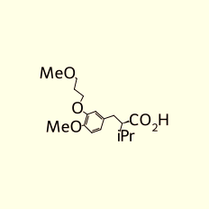 COCCCOc1cc(C[C@@H](C(=O)O)C(C)C)ccc1OC